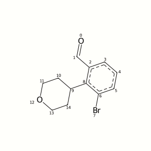 O=Cc1cccc(Br)c1C1CCOCC1